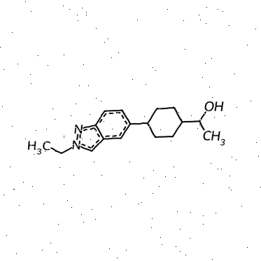 CCn1cc2cc(C3CCC(C(C)O)CC3)ccc2n1